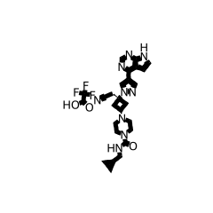 N#CC[C@]1(n2cc(-c3ncnc4[nH]ccc34)cn2)C[C@H](N2CCN(C(=O)NCC3CC3)CC2)C1.O=C(O)C(F)(F)F